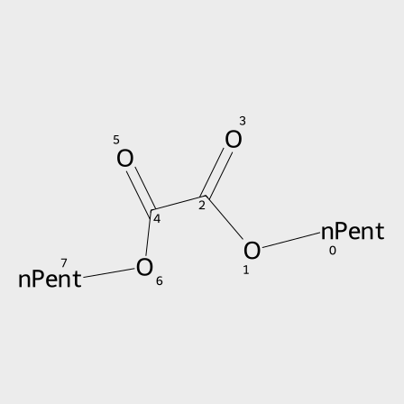 CCCCCOC(=O)C(=O)OCCCCC